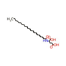 CCCCCCCCC/C=C/C=C/C=C/C=C/C=C/C=C/C(=O)NC(CCC(=O)O)C(=O)O